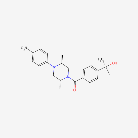 C[C@@H]1CN(c2ccc([N+](=O)[O-])cc2)[C@@H](C)CN1C(=O)c1ccc([C@](C)(O)C(F)(F)F)cc1